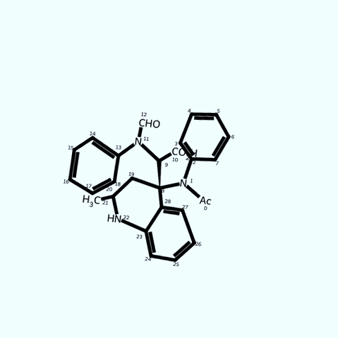 CC(=O)N(c1ccccc1)[C@@]1(C(C(=O)O)N(C=O)c2ccccc2)CC(C)Nc2ccccc21